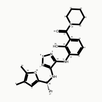 Cc1cc([C@H](Nc2nsnc2Nc2cccc(C(=O)N3CCCCC3)c2O)C(C)C)oc1C